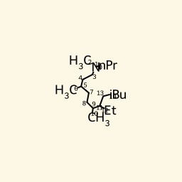 CCCN(C)CCC(C)CCC(C)C(CC)CC(C)CC